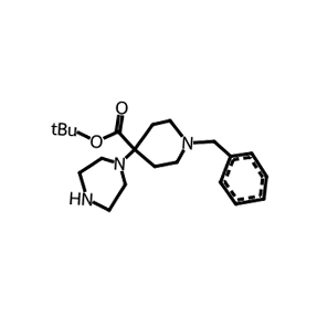 CC(C)(C)OC(=O)C1(N2CCNCC2)CCN(Cc2ccccc2)CC1